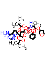 CC(C)C(=O)O[C@@H]1[C@@](C)(CO[P@](=O)(N[C@@H](C)C(=O)O[C@H]2CCOC2)Oc2ccccc2)OC[C@]1(OC(=O)C(C)C)c1ccc2c(N)ncnn12